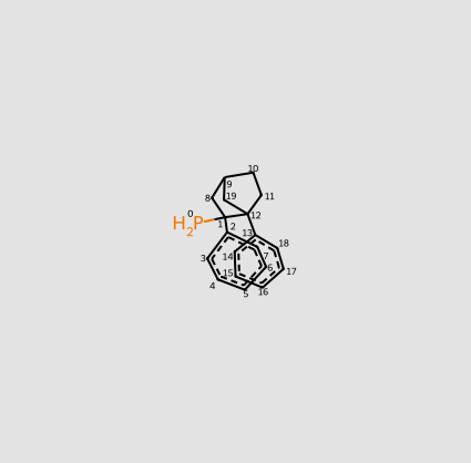 PC1(c2ccccc2)CC2CCC1(c1ccccc1)C2